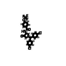 O=C(NC1CN(C(c2ccc(Cl)cc2)c2ccc(Cl)cc2)CC1=O)c1ccc(OC(F)(F)F)cc1